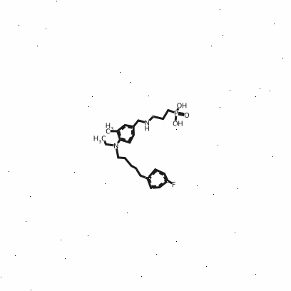 CCN(CCCCCc1ccc(F)cc1)c1ccc(CNCCCP(=O)(O)O)cc1C